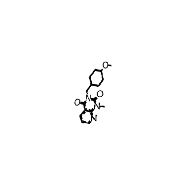 COC1CCC(Cn2c(=O)c3cccnc3n(C)c2=O)CC1